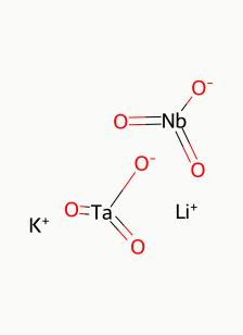 [K+].[Li+].[O]=[Nb](=[O])[O-].[O]=[Ta](=[O])[O-]